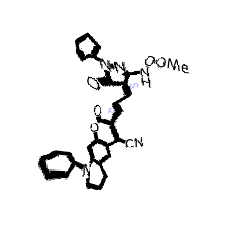 COONC1=NN(c2ccccc2)C(=O)/C1=C\C=C\c1c(C#N)c2cc3c(cc2oc1=O)N(c1ccccc1)CCC3